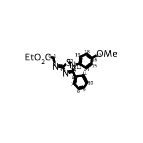 CCOC(=O)CN=c1nc(-c2ccccc2)n(-c2ccc(OC)cc2)s1